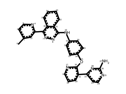 Cc1ccnc(-c2nnc(Nc3ccc(Oc4ncccc4-c4ccnc(N)n4)cc3)c3ccccc23)c1